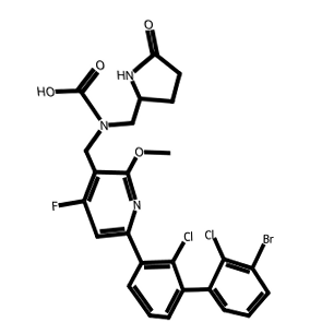 COc1nc(-c2cccc(-c3cccc(Br)c3Cl)c2Cl)cc(F)c1CN(CC1CCC(=O)N1)C(=O)O